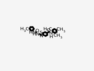 Cc1cccc(NC(=O)Nc2nc3ccc(C(=O)Nc4c(C)cc(C)cc4C)cc3s2)c1